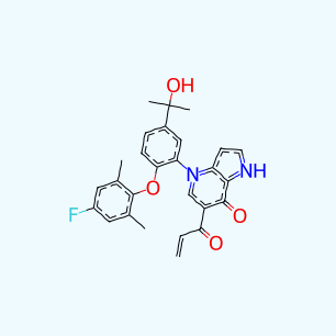 C=CC(=O)c1cn(-c2cc(C(C)(C)O)ccc2Oc2c(C)cc(F)cc2C)c2cc[nH]c2c1=O